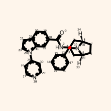 O=C(NC1C[C@H]2CC[C@@H](C1)N2Cc1ccccc1)c1ccc2ccn(-c3ccncc3)c2c1